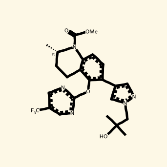 COC(=O)N1c2ccc(-c3cnn(CC(C)(C)O)c3)c(Oc3ncc(C(F)(F)F)cn3)c2CC[C@@H]1C